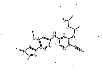 COc1cc(Nc2cnc(C#N)c(OC(C)CN(C)C)n2)ncc1-c1cnn(C)c1